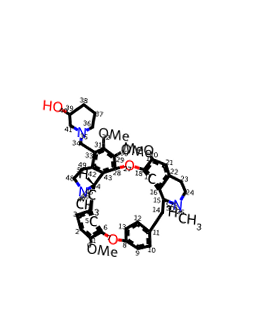 COc1ccc2cc1Oc1ccc(cc1)C[C@H]1c3cc(c(OC)cc3CCN1C)Oc1c(OC)c(OC)c(CN3CCCC(O)C3)c3c1[C@H](C2)N(C)CC3